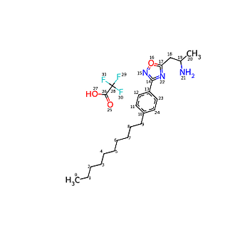 CCCCCCCCCCc1ccc(-c2noc(CC(C)N)n2)cc1.O=C(O)C(F)(F)F